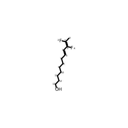 C/C(F)=C(F)/C=C/CCCCCCCO